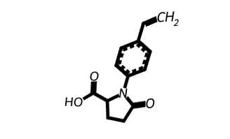 C=Cc1ccc(N2C(=O)CCC2C(=O)O)cc1